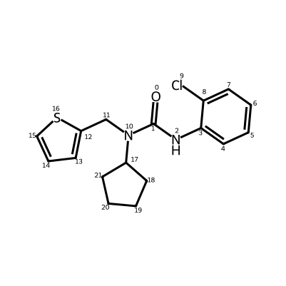 O=C(Nc1ccccc1Cl)N(Cc1cccs1)C1CCCC1